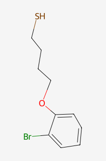 SCCCCOc1ccccc1Br